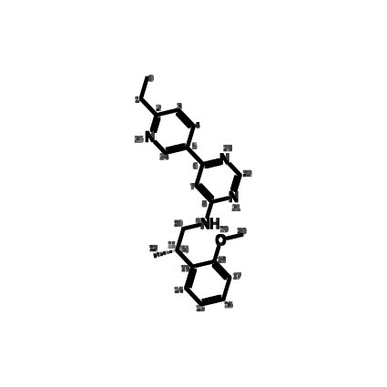 CCc1ccc(-c2cc(NC[C@@H](C)c3ccccc3OC)ncn2)cn1